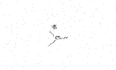 CCCCCCCCC(P)(CCCCCCCC)CCCCCCCC.COP(=O)(O)OC